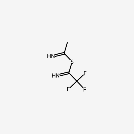 CC(=N)SC(=N)C(F)(F)F